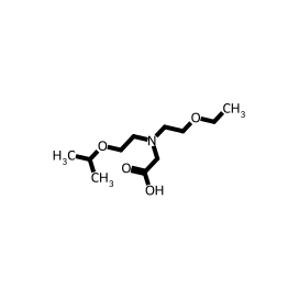 CCOCCN(CCOC(C)C)CC(=O)O